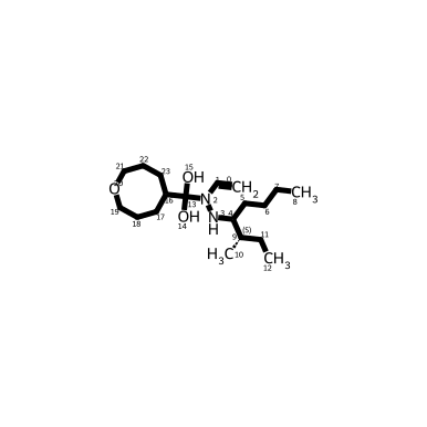 C=CN(NC(CCCC)[C@@H](C)CC)C(O)(O)C1CCCOCCC1